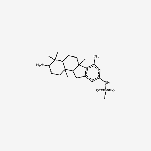 CC12CCC3C(C)(C)C(N)CCC3(C)C1Cc1cc(NS(C)(=O)=O)cc(O)c12